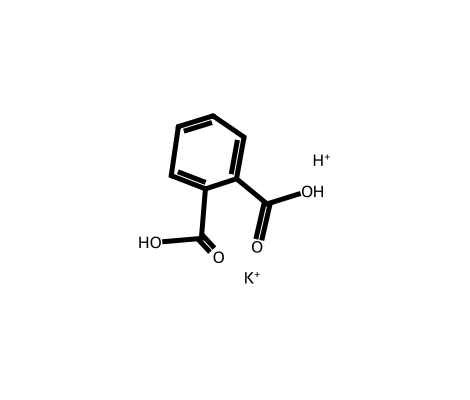 O=C(O)c1ccccc1C(=O)O.[H+].[K+]